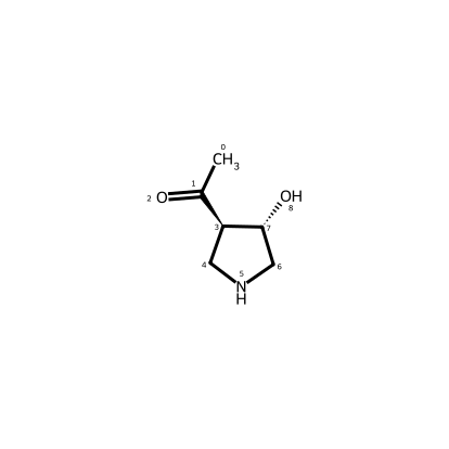 CC(=O)[C@@H]1CNC[C@H]1O